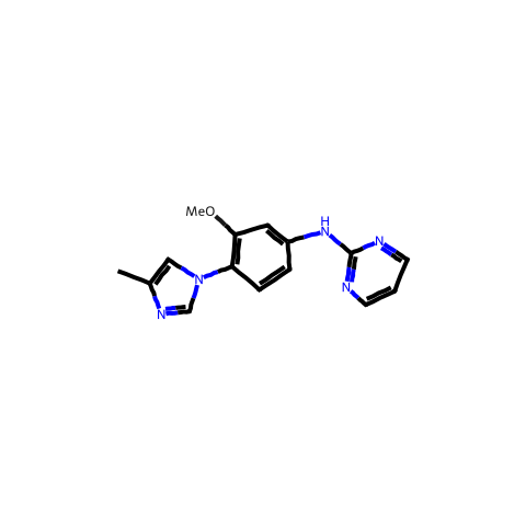 COc1cc(Nc2ncccn2)ccc1-n1cnc(C)c1